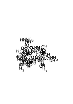 CC[C@H](C)[C@H](NC(=O)[C@H](Cc1ccc(O)cc1)NC(=O)[C@H](C)NC(=O)[C@H](CCCNC(=N)N)NC(=O)c1ccc(CN)cc1)C(=O)N[C@@H](CC(N)=O)C(=O)N[C@@H](CC(C)C)C(=O)N[C@H](C(=O)N[C@@H](CC(C)C)C(=O)N[C@@H](CCCNC(=N)N)C(=O)N[C@@H](CCC(N)=O)C(=O)N[C@@H](CCCNC(=N)N)C(=O)N[C@@H](Cc1ccc(O)cc1)C(N)=O)[C@@H](C)CC